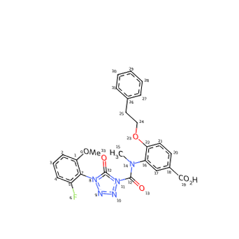 COc1cccc(F)c1-n1nnn(C(=O)N(C)c2cc(C(=O)O)ccc2OCCc2ccccc2)c1=O